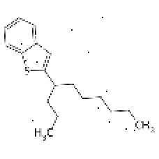 CCCCCCC(CCC)c1cc2ccccc2s1